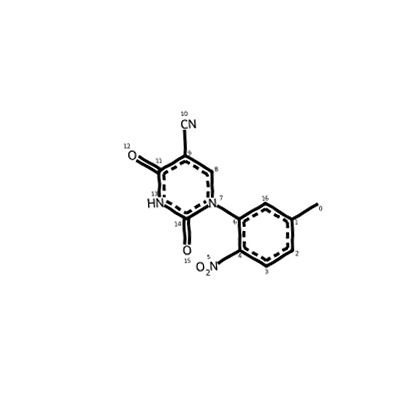 Cc1ccc([N+](=O)[O-])c(-n2cc(C#N)c(=O)[nH]c2=O)c1